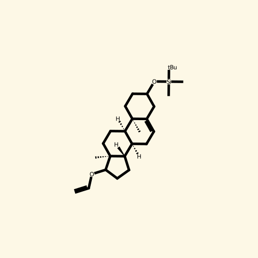 C=COC1CC[C@H]2[C@@H]3CC=C4CC(O[Si](C)(C)C(C)(C)C)CC[C@]4(C)[C@@H]3CC[C@]12C